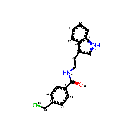 O=C(NCCc1c[nH]c2ccccc12)c1ccc(CCl)cc1